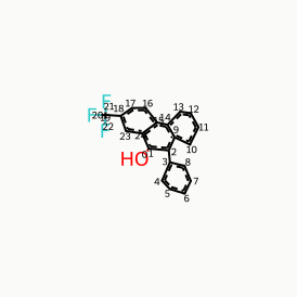 Oc1c(-c2ccccc2)c2ccccc2c2ccc(C(F)(F)F)cc12